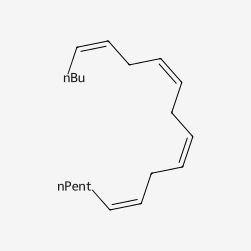 [CH2]CCC/C=C\C/C=C\C/C=C\C/C=C\CCCC[CH2]